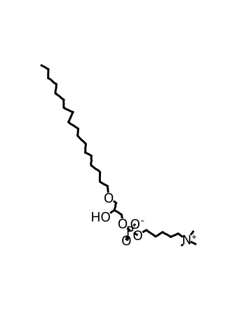 CCCCCCCCCCCCCCCCCCOCC(O)COP(=O)([O-])OCCCCC[N+](C)(C)C